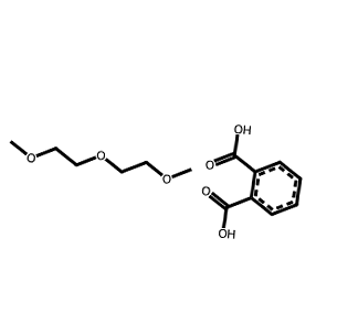 COCCOCCOC.O=C(O)c1ccccc1C(=O)O